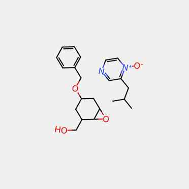 CC(C)Cc1cncc[n+]1[O-].OCC1CC(OCc2ccccc2)CC2OC12